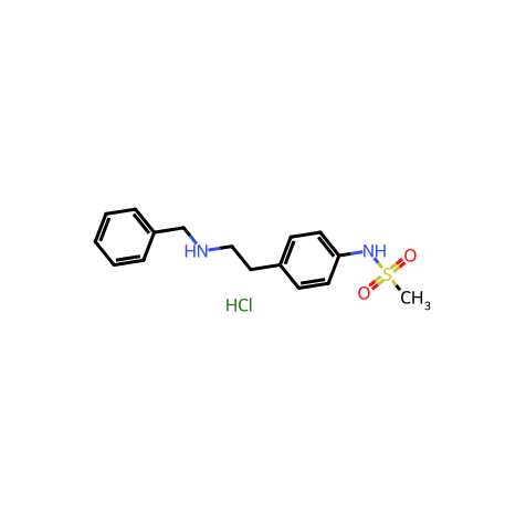 CS(=O)(=O)Nc1ccc(CCNCc2ccccc2)cc1.Cl